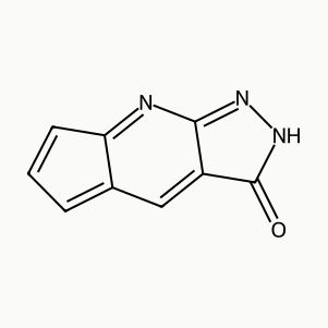 O=C1NN=c2nc3c(cc21)=CC=C3